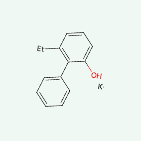 CCc1cccc(O)c1-c1ccccc1.[K]